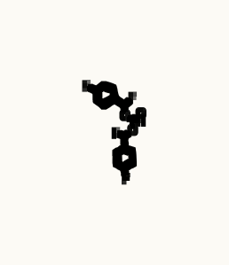 O=[PH](OC(F)c1ccc(F)cc1)OC(F)c1ccc(F)cc1